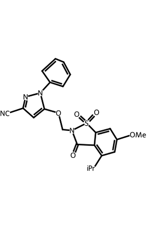 COc1cc(C(C)C)c2c(c1)S(=O)(=O)N(COc1cc(C#N)nn1-c1ccccc1)C2=O